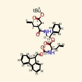 C=CCC(CC(=O)OC(C)(C)C)C(=O)NC[C@@H](OC(=O)[C@@H](CC=C)NC(=O)OCC1c2ccccc2-c2ccccc21)c1ccccc1